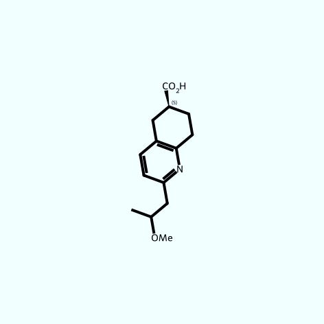 COC(C)Cc1ccc2c(n1)CC[C@H](C(=O)O)C2